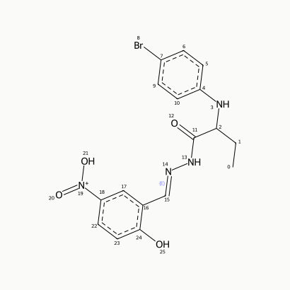 CCC(Nc1ccc(Br)cc1)C(=O)N/N=C/c1cc([N+](=O)O)ccc1O